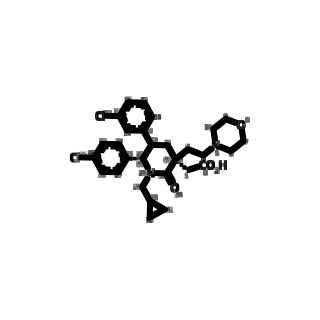 O=C(O)C[C@@]1(CCN2CCOCC2)CC(c2cccc(Cl)c2)[C@@H](c2ccc(Cl)cc2)N(CC2CC2)C1=O